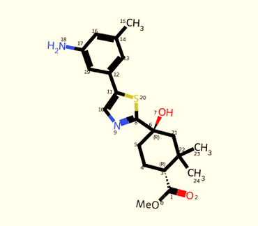 COC(=O)[C@@H]1CC[C@](O)(c2ncc(-c3cc(C)cc(N)c3)s2)CC1(C)C